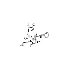 CSCC[C@H]1C(=O)N(Cc2ccc(Cl)c(Cl)c2)C[C@H]2N1C(=O)CN(C)N2C(=O)NCc1ccccc1